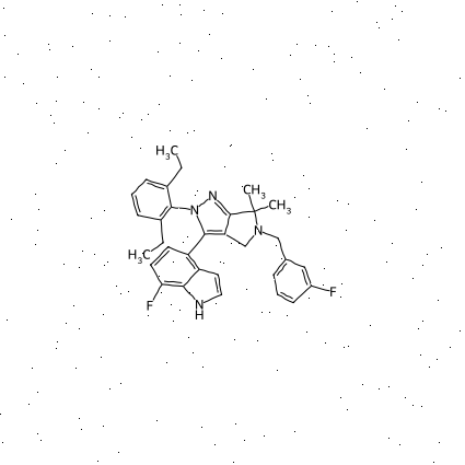 CCc1cccc(CC)c1-n1nc2c(c1-c1ccc(F)c3[nH]ccc13)CN(Cc1cccc(F)c1)C2(C)C